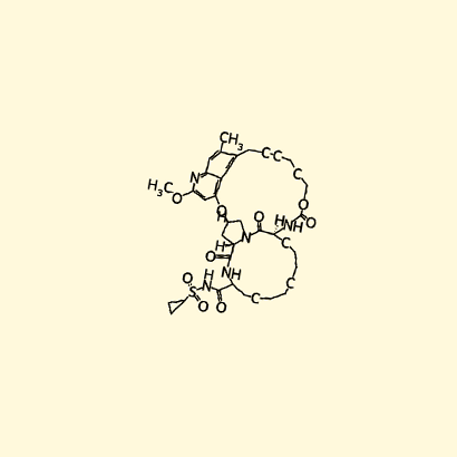 COc1cc2c3cc(c(C)cc3n1)CCCCCCOC(=O)N[C@H]1CCCCCCCCC(C(=O)NS(=O)(=O)C3CC3)NC(=O)[C@@H]3C[C@H](CN3C1=O)O2